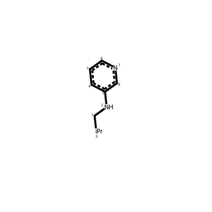 [CH2]C(C)CNc1cccnc1